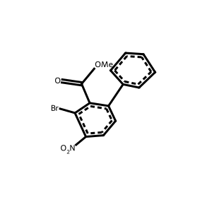 COC(=O)c1c(-c2ccccc2)ccc([N+](=O)[O-])c1Br